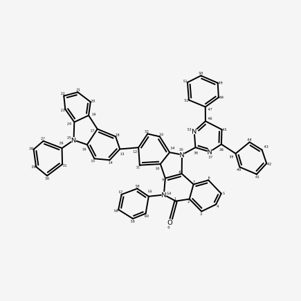 O=c1c2ccccc2c2c(c3cc(-c4ccc5c(c4)c4ccccc4n5-c4ccccc4)ccc3n2-c2nc(-c3ccccc3)cc(-c3ccccc3)n2)n1-c1ccccc1